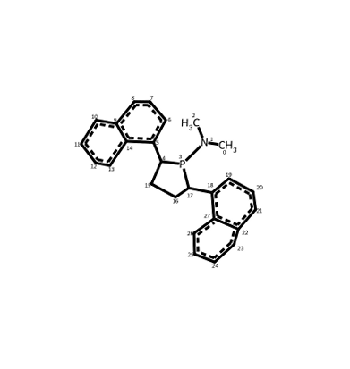 CN(C)P1C(c2cccc3ccccc23)CCC1c1cccc2ccccc12